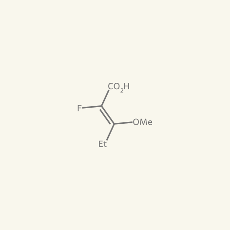 CCC(OC)=C(F)C(=O)O